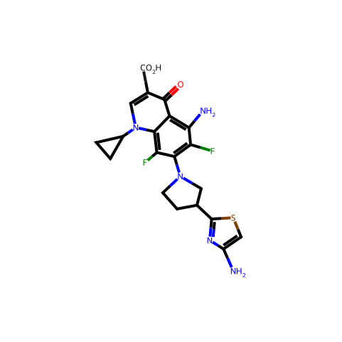 Nc1csc(C2CCN(c3c(F)c(N)c4c(=O)c(C(=O)O)cn(C5CC5)c4c3F)C2)n1